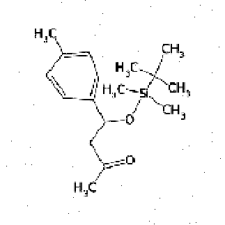 CC(=O)CC(O[Si](C)(C)C(C)(C)C)c1ccc(C)cc1